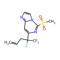 C=CCC(F)(c1cc2nccn2c(S(C)(=O)=O)n1)C(F)(F)F